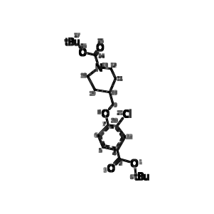 CC(C)(C)OC(=O)c1ccc(OCC2CCN(C(=O)OC(C)(C)C)CC2)c(Cl)c1